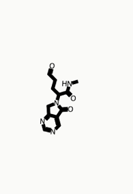 CNC(=O)C(CCC=O)N1Cc2ncncc2C1=O